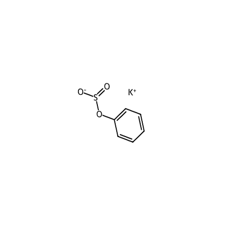 O=S([O-])Oc1ccccc1.[K+]